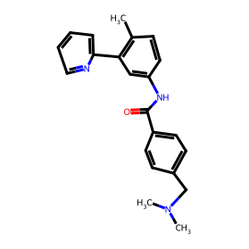 Cc1ccc(NC(=O)c2ccc(CN(C)C)cc2)cc1-c1ccccn1